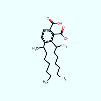 CCCCCCC(C)c1ccc(C(=O)O)c(C(=O)O)c1C(C)CCCCCC